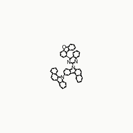 c1ccc2c(c1)ccc1c2c2cc(-n3c4ccccc4c4ccc5ccccc5c43)ccc2n1-c1nc(-c2cccc3oc4ccccc4c23)c2ccccc2n1